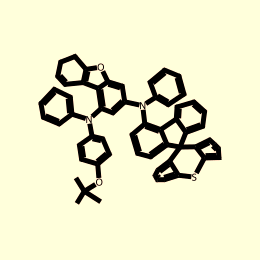 CC(C)(C)Oc1ccc(N(c2ccccc2)c2cc(N(c3ccccc3)c3cccc4c3-c3ccccc3C43c4ccccc4Sc4ccccc43)cc3oc4c(c23)C=CCC4)cc1